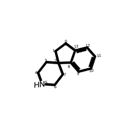 [CH]1CC2(CCNCC2)c2ccccc21